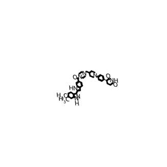 CC1(C)CCc2c(-c3cc4ccc(C(=O)N5CCN(CC6CCN(c7ccc([C@@H]8CCC(=O)NC8=O)cc7)CC6)CC5)cc4[nH]3)n[nH]c2C1